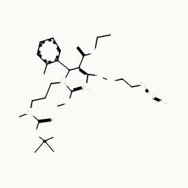 CCOC(=O)C1=C(COCCN=[N+]=[N-])N=C(OC)N(CCCN(C)C(=O)OC(C)(C)C)C1c1ccccc1Cl